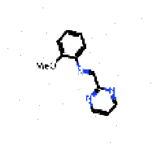 COc1ccccc1N=Cc1ncccn1